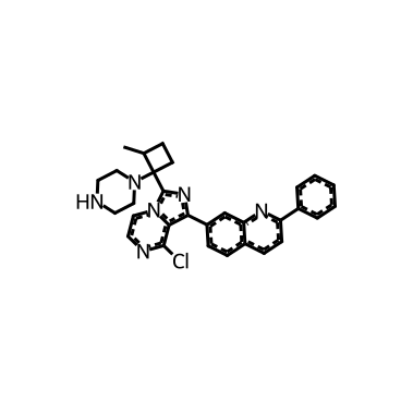 CC1CCC1(c1nc(-c2ccc3ccc(-c4ccccc4)nc3c2)c2c(Cl)nccn12)N1CCNCC1